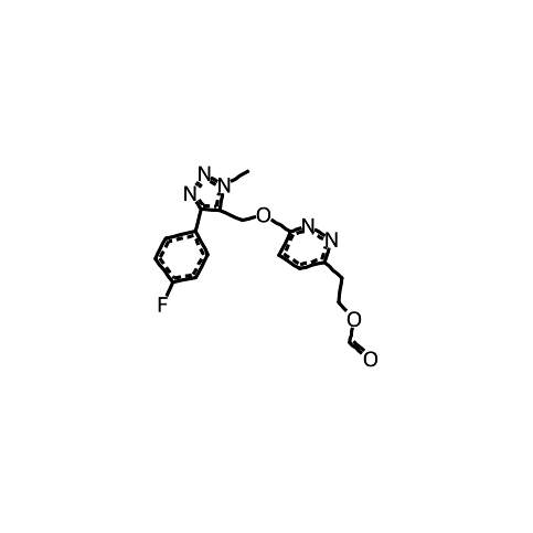 Cn1nnc(-c2ccc(F)cc2)c1COc1ccc(CCOC=O)nn1